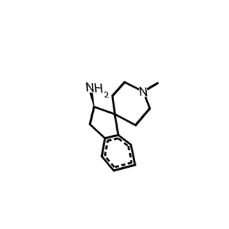 CN1CCC2(CC1)c1ccccc1C[C@H]2N